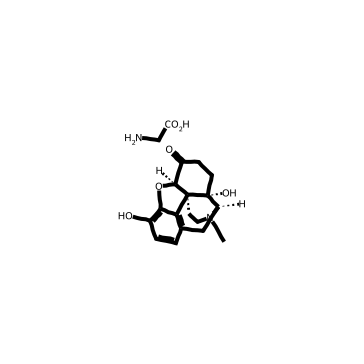 CN1CC[C@]23c4c5ccc(O)c4O[C@H]2C(=O)CC[C@@]3(O)[C@H]1C5.NCC(=O)O